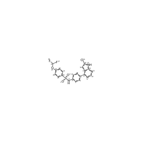 O=S(=O)(Nc1ccc(-c2ncnc3[nH]c(Cl)cc23)cc1)c1ccc(OC(F)F)cc1